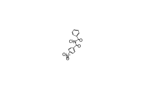 O=C(c1ccccc1)N(Cl)C(=O)c1ccc([N+](=O)[O-])cc1